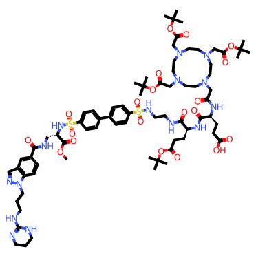 COC(=O)[C@H](CNC(=O)c1ccc2c(cnn2CCCNC2=NCCCN2)c1)NS(=O)(=O)c1ccc(-c2ccc(S(=O)(=O)NCCNC(=O)[C@H](CCC(=O)OC(C)(C)C)NC(=O)[C@H](CCC(=O)O)NC(=O)CN3CCN(CC(=O)OC(C)(C)C)CCN(CC(=O)OC(C)(C)C)CCN(CC(=O)OC(C)(C)C)CC3)cc2)cc1